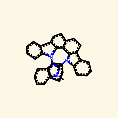 Cn1c(-n2c3ccccc3c3ccc4ccc5c6ccccc6n(-c6ccccc6)c5c4c32)nc2ccccc21